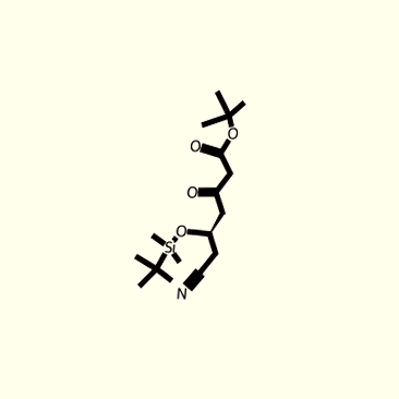 CC(C)(C)OC(=O)CC(=O)C[C@@H](CC#N)O[Si](C)(C)C(C)(C)C